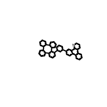 c1cc(-c2ccc3c4ccccc4c4cccnc4c3c2)cc(-c2cccc3c2-c2ccccc2-c2ccccc2-c2ccccc2-3)c1